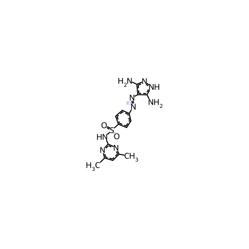 Cc1cc(C)nc(NS(=O)(=O)c2ccc(/N=N/c3c(N)n[nH]c3N)cc2)n1